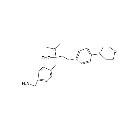 CN(C)C(C=O)(CCc1ccc(N2CCOCC2)cc1)Cc1ccc(CN)cc1